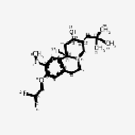 COc1cc2c(cc1OCC(F)F)CCN1C[C@H](CC(C)(C)C)[C@@H](O)C[C@@H]21